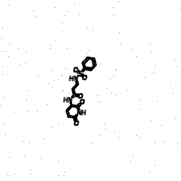 O=C1CC[C@@H](NC(=O)CCNS(=O)(=O)c2ccccc2)C(=O)N1